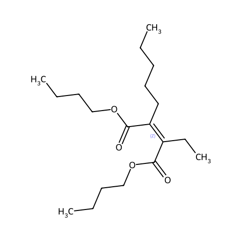 CCCCC/C(C(=O)OCCCC)=C(\CC)C(=O)OCCCC